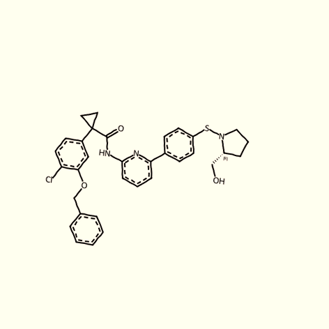 O=C(Nc1cccc(-c2ccc(SN3CCC[C@@H]3CO)cc2)n1)C1(c2ccc(Cl)c(OCc3ccccc3)c2)CC1